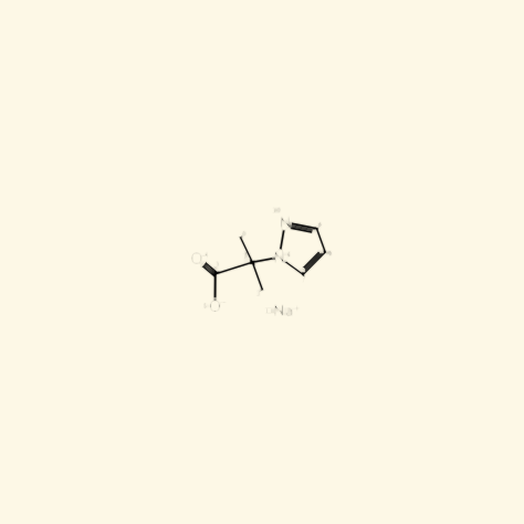 CC(C)(C(=O)[O-])n1cccn1.[Na+]